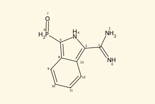 N=C(N)c1[nH]c([PH2]=O)c2ccccc12